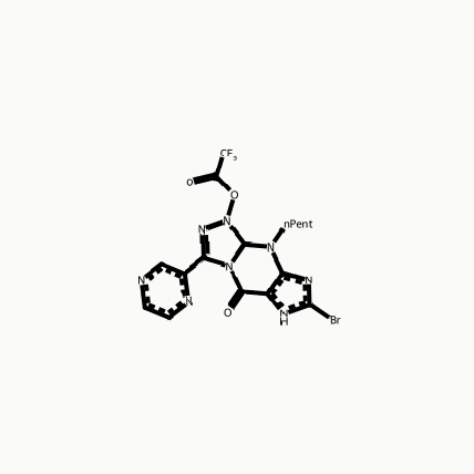 CCCCCN1c2nc(Br)[nH]c2C(=O)N2C(c3cnccn3)=NN(OC(=O)C(F)(F)F)C21